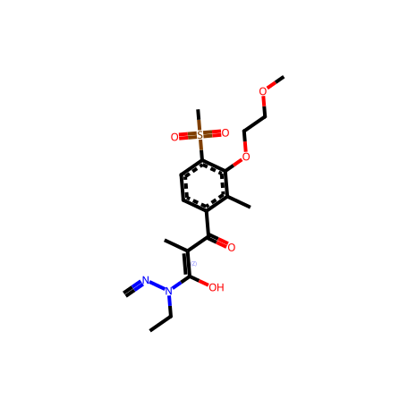 C=NN(CC)/C(O)=C(\C)C(=O)c1ccc(S(C)(=O)=O)c(OCCOC)c1C